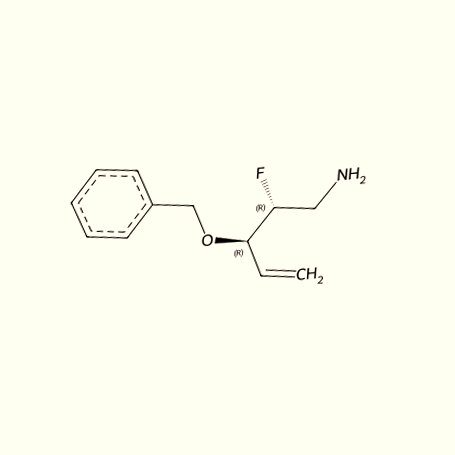 C=C[C@@H](OCc1ccccc1)[C@H](F)CN